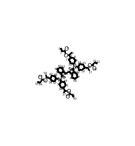 C=CC(=O)OC(C)c1ccc(N(c2ccc(C(C)OC(=O)C=C)cc2)c2sc(-c3sc(N(c4ccc(C(C)OC(=O)C=C)cc4)c4ccc(C(C)OC(=O)C=C)cc4)c4ccccc34)c3ccccc23)cc1